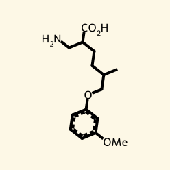 COc1cccc(OCC(C)CCC(CN)C(=O)O)c1